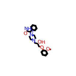 COc1ccccc1OCC(O)CN1CCN(C(C(N)=O)c2ccccc2)CC1